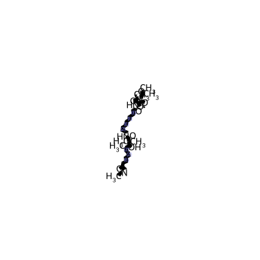 COC(C)CN(C)C(=O)C1(NC(=O)/C=C/C=C/C=C/C=C\CNC(=O)C(C)(C)C(O)\C(C)=C/C=C\C=C\Cc2cnc(C)o2)COCO1